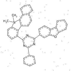 C[Si]1(C)c2cccc(-c3nc(-c4ccccc4)nc(-c4ccc5c(c4)oc4ccccc45)n3)c2-c2ccc3ccccc3c21